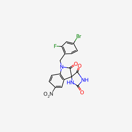 O=C1NC(=O)C2(N1)C(=O)N(Cc1ccc(Br)cc1F)c1ccc([N+](=O)[O-])cc12